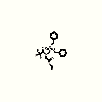 CCOC(=O)CN(CP(=S)(OCc1ccccc1)OCc1ccccc1)C(=O)C(F)(F)F